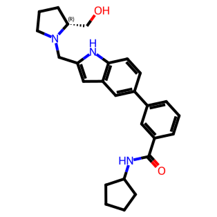 O=C(NC1CCCC1)c1cccc(-c2ccc3[nH]c(CN4CCC[C@@H]4CO)cc3c2)c1